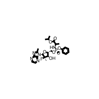 Cc1nc2nccnc2n1[C@@H]1O[C@H](CO[P@](=O)(NC(C)C(=O)OC(C)C)Oc2ccccc2)[C@@H](O)[C@@]1(C)F